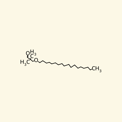 CCCCCCCCCCCCCCCCCCOCC(C)(C)C=O